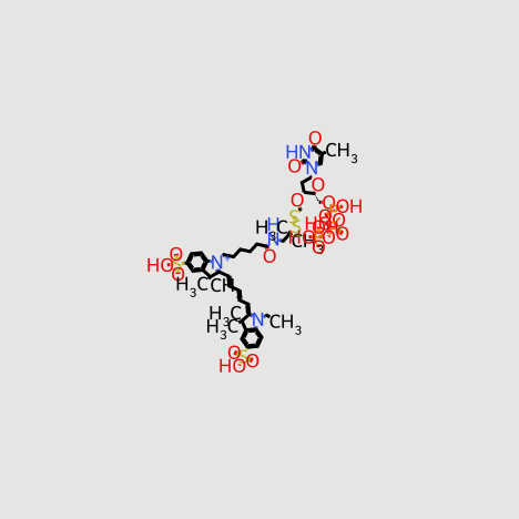 CCN1/C(=C/C=C/C=C/C2=[N+](CCCCCC(=O)NCC(C)(C)SSCOC3C[C@H](n4cc(C)c(=O)[nH]c4=O)O[C@@H]3COP(=O)(O)OP(=O)(O)OP(=O)(O)O)c3ccc(S(=O)(=O)O)cc3C2(C)C)C(C)(C)c2cc(S(=O)(=O)O)ccc21